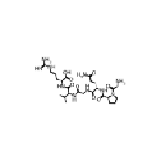 CC(C)[C@H](NC(=O)CNC(=O)[C@H](CCC(N)=O)NC(=O)[C@@H]1CCCN1C(=O)CN)C(=O)N[C@@H](CCCNC(=N)N)C(=O)O